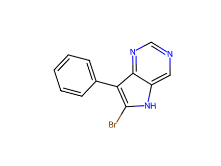 Brc1[nH]c2cncnc2c1-c1ccccc1